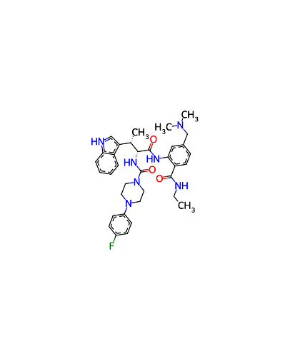 CCNC(=O)c1ccc(CN(C)C)cc1NC(=O)[C@H](NC(=O)N1CCN(c2ccc(F)cc2)CC1)[C@@H](C)c1c[nH]c2ccccc12